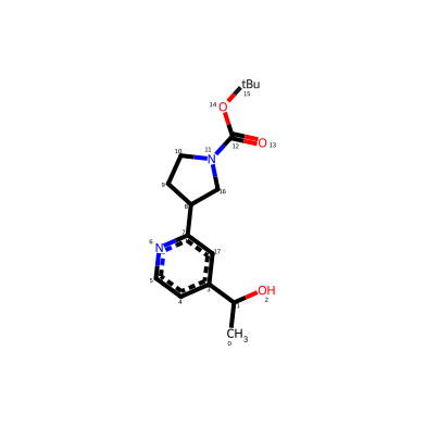 CC(O)c1ccnc(C2CCN(C(=O)OC(C)(C)C)C2)c1